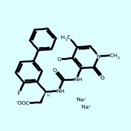 Cc1cn(C)c(=O)c(NC(=O)N[C@@H](CC(=O)[O-])c2cc(-c3ccccc3)ccc2F)c1[O-].[Na+].[Na+]